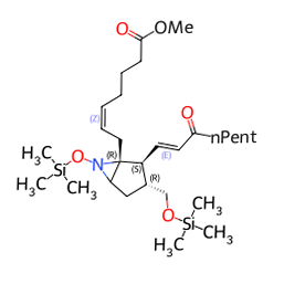 CCCCCC(=O)/C=C/[C@H]1[C@H](CO[Si](C)(C)C)CC2N(O[Si](C)(C)C)[C@@]21C/C=C\CCCC(=O)OC